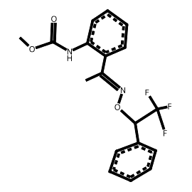 COC(=O)Nc1ccccc1C(C)=NOC(c1ccccc1)C(F)(F)F